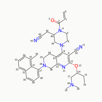 C=CC(=O)N1CCN(c2c(C#N)c(OC(CC)CN(C)C)nc3c2CCN(c2cccc4cccc(C)c24)C3)CC1CC#N